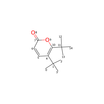 CC(C)(C)c1ccc(=O)oc1C(C)(C)C